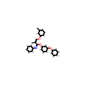 CC(=COc1cccc(C)c1)C(=Nc1ccccc1)Oc1cccc(Oc2ccccc2)c1